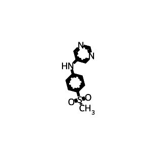 CS(=O)(=O)c1ccc(Nc2cncnc2)cc1